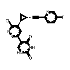 O=c1[nH]cc(-c2cc([C@H]3C[C@@H]3C#Cc3ccc(F)cn3)c(Cl)nn2)c(=O)[nH]1